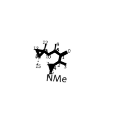 C=C(C(C)C1=C(NC)C1)[C@H](C)C[C@@]1(C)C[C@H]1C